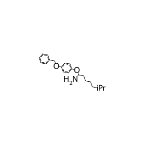 CC(C)CCCCC(N)Oc1ccc(OCc2ccccc2)cc1